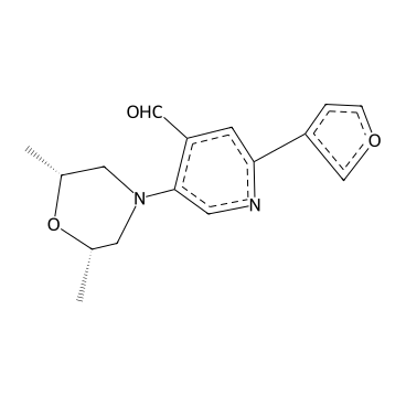 C[C@@H]1CN(c2cnc(-c3ccoc3)cc2C=O)C[C@H](C)O1